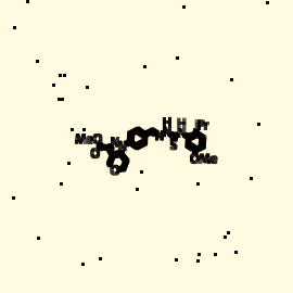 COC(=O)c1nn(-c2ccc(C=NNC(=S)Nc3cc(OC)ccc3C(C)C)cc2)c2c1COCC2